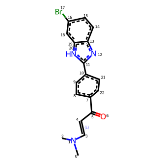 CN(C)/C=C/C(=O)c1ccc(-c2nc3ccc(Br)cc3[nH]2)cc1